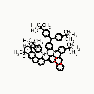 CC(C)(C)c1ccc(C(c2ccc(C(C)(C)C)cc2)c2ccc3c(c2)N(c2ccc(C(C)(C)C)cc2-c2ccccc2)c2cc(-c4ccccc4)cc4c2B3N(c2ccc(C(C)(C)C)cc2)c2c-4ccc3c2-c2cc4c(cc2C3)C(C)(C)CCC4(C)C)cc1